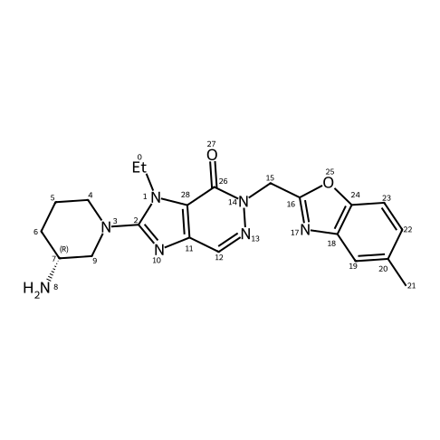 CCn1c(N2CCC[C@@H](N)C2)nc2cnn(Cc3nc4cc(C)ccc4o3)c(=O)c21